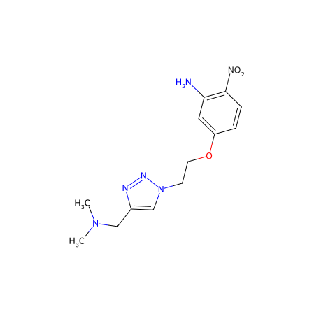 CN(C)Cc1cn(CCOc2ccc([N+](=O)[O-])c(N)c2)nn1